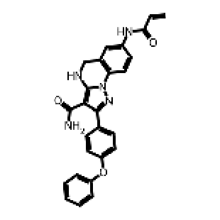 C=CC(=O)Nc1ccc2c(c1)CNc1c(C(N)=O)c(-c3ccc(Oc4ccccc4)cc3)nn1-2